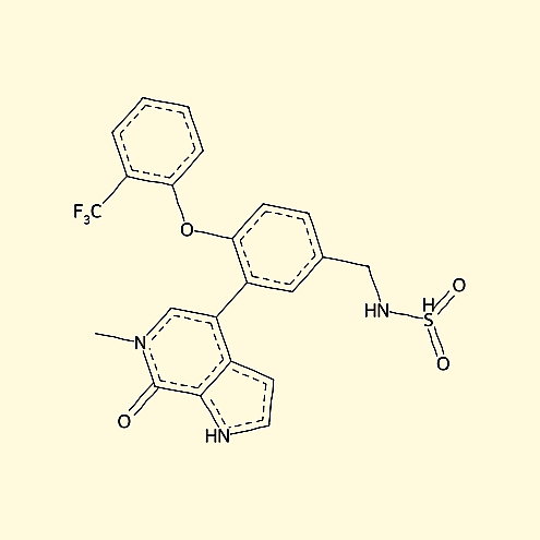 Cn1cc(-c2cc(CN[SH](=O)=O)ccc2Oc2ccccc2C(F)(F)F)c2cc[nH]c2c1=O